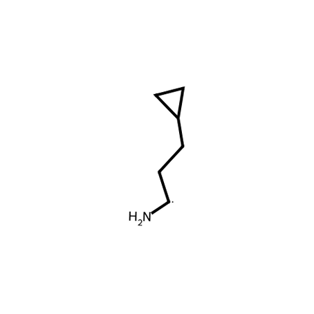 N[CH]CCC1CC1